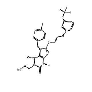 Cc1ccc(Cn2c(OCCOc3cccc(OC(F)(F)F)c3)nc3c2c(=O)n(CCO)c(=O)n3C)cn1